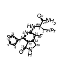 CC(C)C[C@@H](Nc1nc(-c2ccsc2)c2c(c1F)CNC2=O)C(N)=O